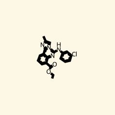 CCOC(=O)c1cccc2c1nc(Nc1cccc(Cl)c1)n1cc(C)nc21